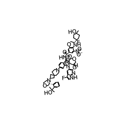 CC1(O)CCC(F)([C@@H]2COc3cc(S(=O)(=O)NC(=O)c4ccc(N5CCC6(CC5)CC(N5CCOC[C@H]5c5ccccc5C(C)(C)O)C6)cc4N4c5cc6c(F)c[nH]c6nc5O[C@H]5COCC[C@@H]54)cc([N+](=O)[O-])c3N2)CC1